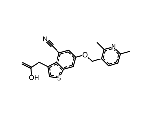 C=C(O)Cc1csc2cc(OCc3ccc(C)nc3C)cc(C#N)c12